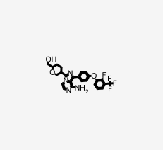 Nc1nccn2c(C3CCC(CO)OC3)nc(-c3ccc(Oc4cccc(C(F)(F)F)c4F)cc3)c12